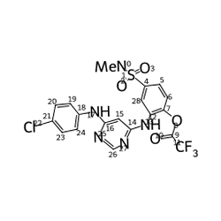 CNS(=O)(=O)c1ccc(OC(=O)C(F)(F)F)c(Nc2cc(Nc3ccc(Cl)cc3)ncn2)c1